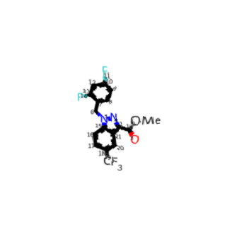 COC(=O)c1nn(Cc2ccc(F)cc2F)c2ccc(C(F)(F)F)cc12